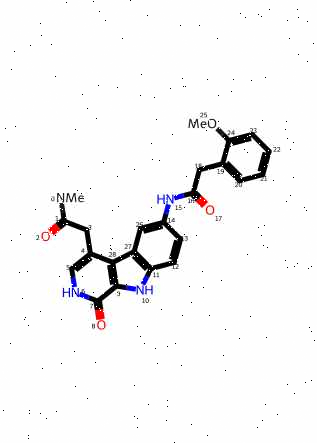 CNC(=O)Cc1c[nH]c(=O)c2[nH]c3ccc(NC(=O)Cc4ccccc4OC)cc3c12